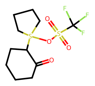 O=C1CCCCC1S1(OS(=O)(=O)C(F)(F)F)CCCC1